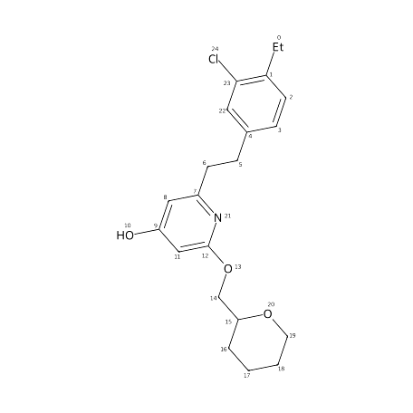 CCc1ccc(CCc2cc(O)cc(OCC3CCCCO3)n2)cc1Cl